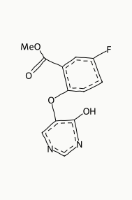 COC(=O)c1cc(F)ccc1Oc1cncnc1O